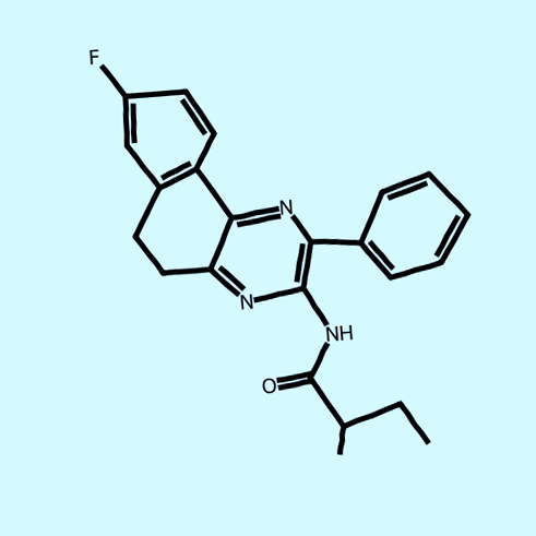 CCC(C)C(=O)Nc1nc2c(nc1-c1ccccc1)-c1ccc(F)cc1CC2